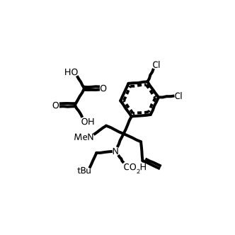 C=CCC(CNC)(c1ccc(Cl)c(Cl)c1)N(CC(C)(C)C)C(=O)O.O=C(O)C(=O)O